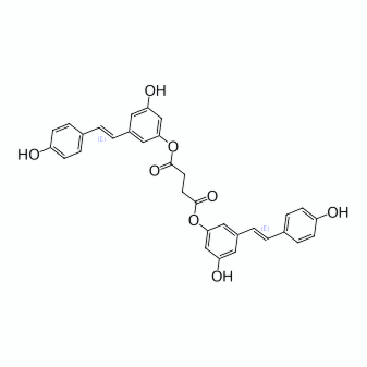 O=C(CCC(=O)Oc1cc(O)cc(/C=C/c2ccc(O)cc2)c1)Oc1cc(O)cc(/C=C/c2ccc(O)cc2)c1